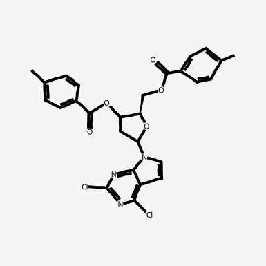 Cc1ccc(C(=O)OC[C@H]2OC(n3ccc4c(Cl)nc(Cl)nc43)CC2OC(=O)c2ccc(C)cc2)cc1